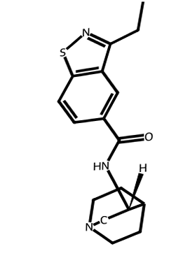 CCc1nsc2ccc(C(=O)N[C@H]3CN4CCC3CC4)cc12